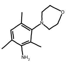 Cc1cc(C)c(N2CCOCC2)c(C)c1N